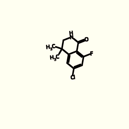 CC1(C)CNC(=O)c2c(F)cc(Cl)cc21